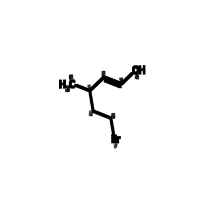 CC(C=CO)CCBr